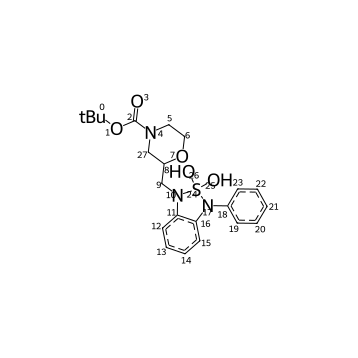 CC(C)(C)OC(=O)N1CCOC(CN2c3ccccc3N(c3ccccc3)S2(O)O)C1